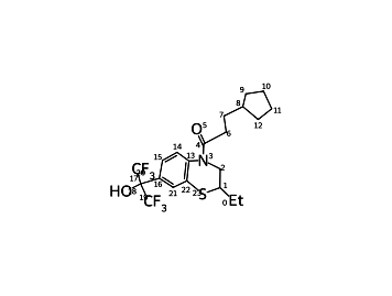 CCC1CN(C(=O)CCC2CCCC2)c2ccc(C(O)(C(F)(F)F)C(F)(F)F)cc2S1